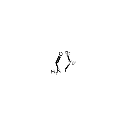 NC=O.[Br][Pb][I]